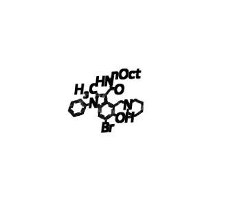 CCCCCCCCNC(=O)c1c(C)n(-c2ccccc2)c2cc(Br)c(O)c(CN3CCCCC3)c12